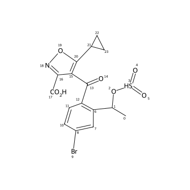 CC(O[SH](=O)=O)c1cc(Br)ccc1C(=O)c1c(C(=O)O)noc1C1CC1